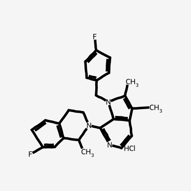 Cc1c(C)n(Cc2ccc(F)cc2)c2c(N3CCc4ccc(F)cc4C3C)nccc12.Cl